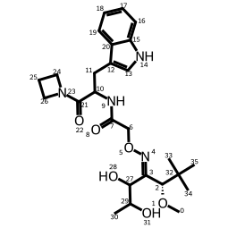 CO[C@H](/C(=N/OCC(=O)NC(Cc1c[nH]c2ccccc12)C(=O)N1CCC1)C(O)C(C)O)C(C)(C)C